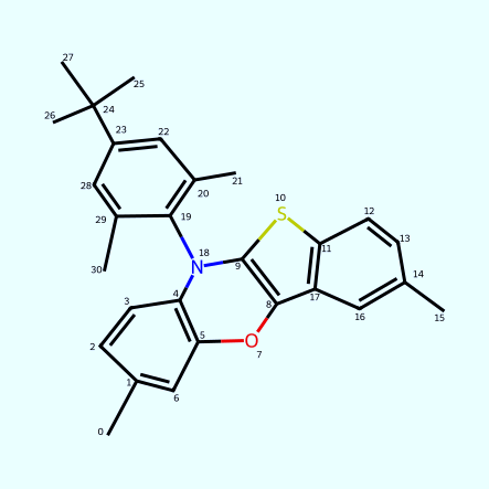 Cc1ccc2c(c1)Oc1c(sc3ccc(C)cc13)N2c1c(C)cc(C(C)(C)C)cc1C